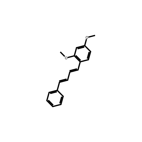 COc1ccc(/C=C/C=C/c2ccccc2)c(OC)c1